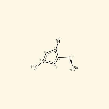 [2H]c1cn(C)nc1O[C@H](C)CC